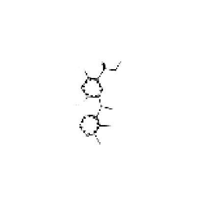 CCOC(=O)CC(=O)c1cc(C(O)c2cccc(Cl)c2F)c(OC)cc1OC